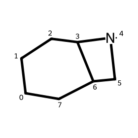 C1CCC2[N]CC2C1